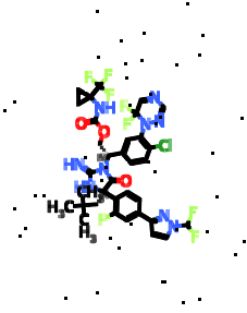 CC(C)(C)C[C@]1(c2ccc(-c3ccn(C(F)F)n3)cc2F)NC(=N)N([C@H](COC(=O)NC2(C(F)(F)F)CC2)c2ccc(Cl)c(N3N=CN=CC3(F)F)c2)C1=O